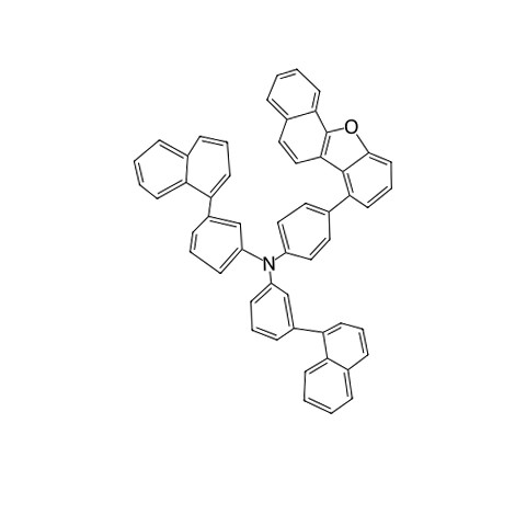 c1cc(-c2cccc3ccccc23)cc(N(c2ccc(-c3cccc4oc5c6ccccc6ccc5c34)cc2)c2cccc(-c3cccc4ccccc34)c2)c1